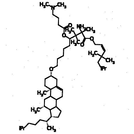 CC(C)CCC[C@@H](C)[C@H]1CCC2C3CC=C4C[C@@H](OCCCCCC(OC(=O)CCCN(C)C)C(C)(C)C(C)(N)C(=O)OC/C=C\C(C)(C)CC(C)C)CC[C@]4(C)C3C[C@@H](C)C21